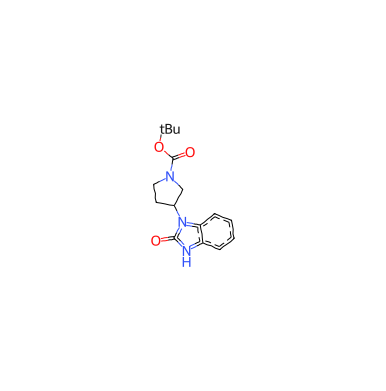 CC(C)(C)OC(=O)N1CCC(n2c(=O)[nH]c3ccccc32)C1